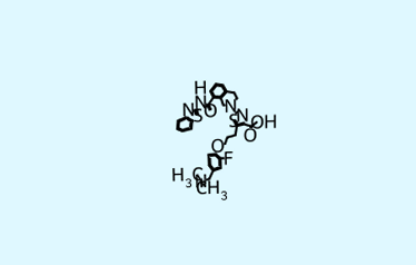 CN(C)Cc1ccc(OCCCc2sc(N3CCc4cccc(C(=O)Nc5nc6ccccc6s5)c4C3)nc2C(=O)O)c(F)c1